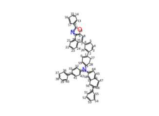 C1=C(c2cccc(-c3cc4oc(-c5ccccc5)nc4c4ccccc34)c2)CCC(N(c2ccc(-c3ccccc3)cc2)c2ccc3ccc(-c4ccccc4)cc3c2)=C1